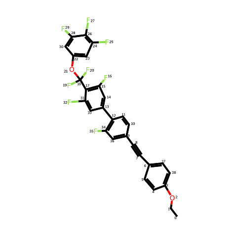 CCOc1ccc(C#Cc2ccc(-c3cc(F)c(C(F)(F)Oc4cc(F)c(F)c(F)c4)c(F)c3)c(F)c2)cc1